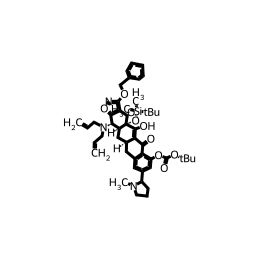 C=CCN(CC=C)[C@@H]1c2onc(OCc3ccccc3)c2C(=O)[C@@]2(O[Si](C)(C)C(C)(C)C)C(O)=C3C(=O)c4c(cc(C5CCCN5C)cc4OC(=O)OC(C)(C)C)C[C@H]3C[C@@H]12